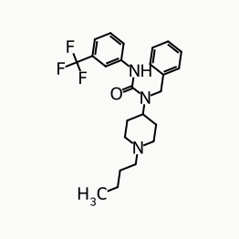 CCCCN1CCC(N(Cc2ccccc2)C(=O)Nc2cccc(C(F)(F)F)c2)CC1